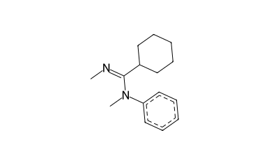 C/N=C(/C1CCCCC1)N(C)c1ccccc1